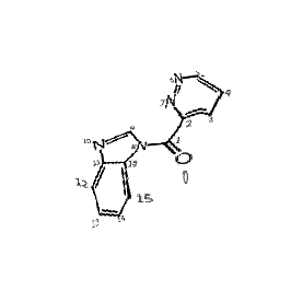 O=C(c1cc[c]nn1)n1cnc2ccccc21